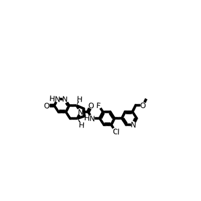 COCc1cncc(-c2cc(F)c(NC(=O)N3[C@H]4CC[C@@H]3c3n[nH]c(=O)cc3C4)cc2Cl)c1